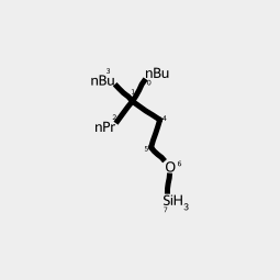 CCCCC(CCC)(CCCC)CCO[SiH3]